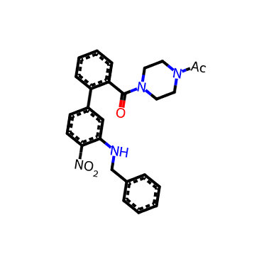 CC(=O)N1CCN(C(=O)c2ccccc2-c2ccc([N+](=O)[O-])c(NCc3ccccc3)c2)CC1